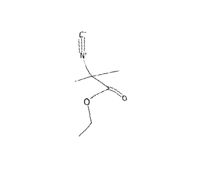 [C-]#[N+]C(C)(C)C(=O)OCC